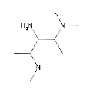 CC(C(N)C(C)N(C)C)N(C)C